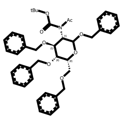 CC(=O)N(C(=O)OC(C)(C)C)[C@@H]1C(OCc2ccccc2)O[C@H](COCc2ccccc2)[C@H](OCc2ccccc2)[C@H]1OCc1ccccc1